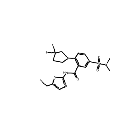 CCc1cnc(NC(=O)c2cc(S(=O)(=O)N(C)C)ccc2N2CCC(F)(F)C2)s1